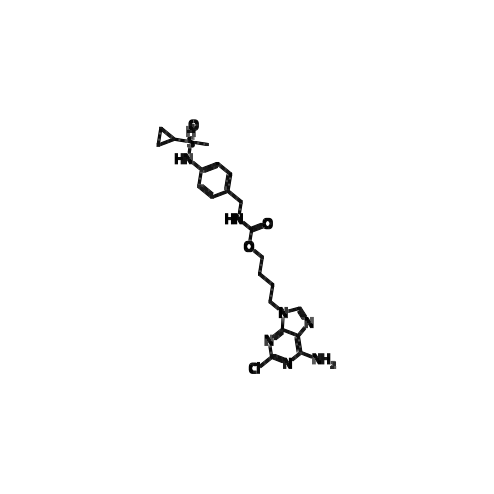 C[SH](=O)(Nc1ccc(CNC(=O)OCCCCn2cnc3c(N)nc(Cl)nc32)cc1)C1CC1